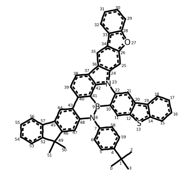 CC(C)(C)c1ccc(N2B3c4cc5sc6ccccc6c5cc4-n4c5cc6oc7ccccc7c6cc5c5ccc(c3c54)-c3cc4c(cc32)C(C)(C)c2ccccc2-4)cc1